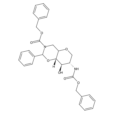 O=C(N[C@H]1COC2CN(C(=O)OCc3ccccc3)C(c3ccccc3)O[C@H]2[C@@H]1O)OCc1ccccc1